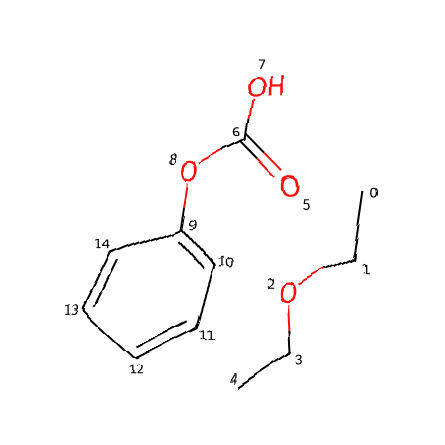 CCOCC.O=C(O)Oc1ccccc1